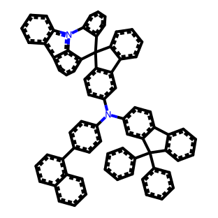 c1ccc(C2(c3ccccc3)c3ccccc3-c3ccc(N(c4ccc(-c5cccc6ccccc56)cc4)c4ccc5c(c4)-c4ccccc4C54c5ccccc5-n5c6ccccc6c6cccc4c65)cc32)cc1